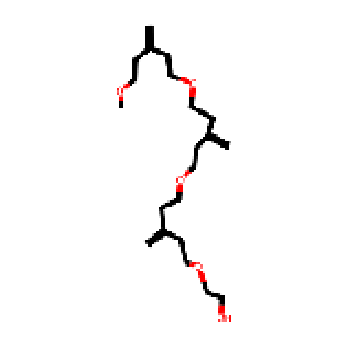 C=C(CCOC)CCOCCC(=C)CCOCCC(=C)CCOCCO